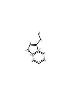 CCC1=C[N]c2ccccc21